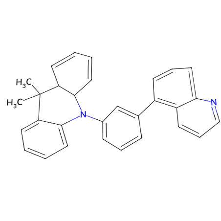 CC1(C)c2ccccc2N(c2cccc(-c3cccc4ncccc34)c2)C2C=CC=CC21